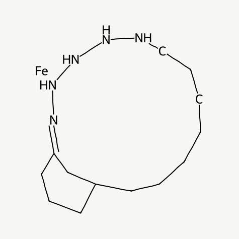 C1CCCNNNNN=C2CCCC(CCC1)C2.[Fe]